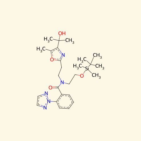 Cc1oc(CCN(CCO[Si](C)(C)C(C)(C)C)C(=O)c2ccccc2-n2nccn2)nc1C(C)(C)O